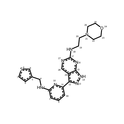 c1cc(NCc2ccsc2)nc(-c2n[nH]c3nc(NCCN4CCOCC4)ncc23)c1